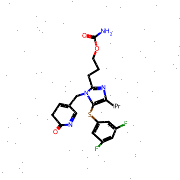 CC(C)c1nc(CCCOC(N)=O)n(CC2=CCC(=O)N=C2)c1Sc1cc(F)cc(F)c1